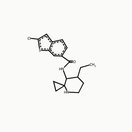 CCC1CCNC2(CC2)C1NC(=O)c1ccc2cc(Cl)sc2c1